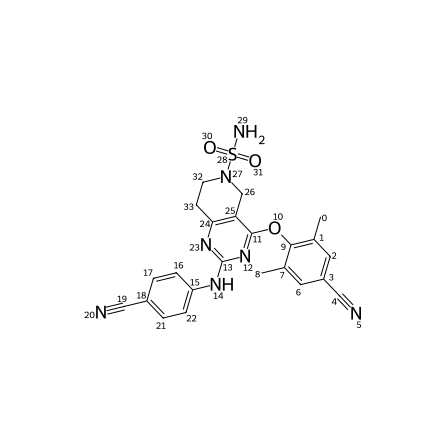 Cc1cc(C#N)cc(C)c1Oc1nc(Nc2ccc(C#N)cc2)nc2c1CN(S(N)(=O)=O)CC2